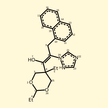 CCC1OCC(CC)(C(O)=C(Cc2cccc3ccccc23)n2cncn2)CO1